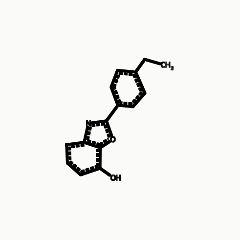 CCc1ccc(-c2nc3cccc(O)c3o2)cc1